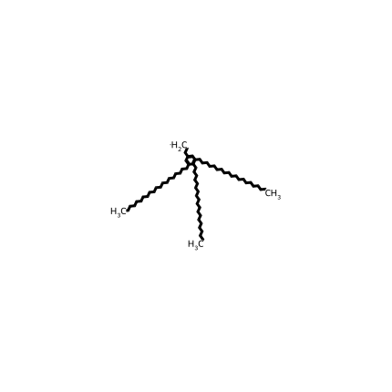 [CH2]CCc1cc(CCCCCCCCCCCCCCCCCCCC)c(CCCCCCCCCCCCCCCCCCCC)c(CCCCCCCCCCCCCCCCCCCC)c1